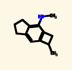 CNc1c2c(cc3c1CC3C)CCC2